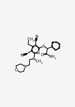 CCc1c(C#N)c(SC(C(N)=O)c2ccccc2)nc(N(C)CCN2CCOCC2)c1C#N